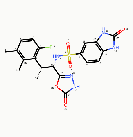 Cc1ccc(F)c([C@@H](C)[C@H](NS(=O)(=O)c2ccc3[nH]c(=O)[nH]c3c2)c2n[nH]c(=O)o2)c1C